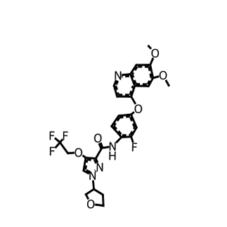 COc1cc2nccc(Oc3ccc(NC(=O)c4nn(C5CCOC5)cc4OCC(F)(F)F)c(F)c3)c2cc1OC